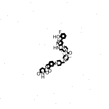 C[C@@H]1CN(CC2CCN(c3ccc4c(c3)C(=O)N([C@H]3CCC(=O)NC3=O)C4)CC2)C[C@H](C)N1C(=O)N1CCN2c3cc(-c4cccc(F)c4O)nnc3NC[C@]2(C)C1